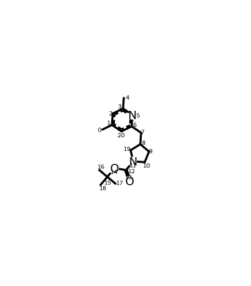 Cc1cc(C)nc(CC2CCN(C(=O)OC(C)(C)C)C2)c1